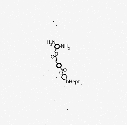 CCCCCCCC1CCC(OC(=O)c2ccc(/C=C/C(=O)OCc3cc(N)cc(N)c3)cc2)CC1